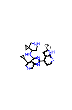 FC(F)(F)c1cc2c(-c3nc(NC4CCNCC45CC5)c4c(C5CC5)cncc4n3)ccnc2[nH]1